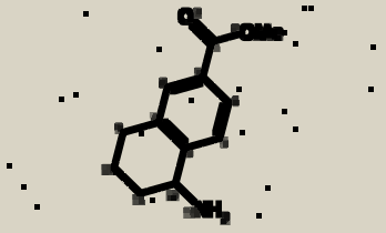 COC(=O)c1ccc2c(c1)CCCC2N